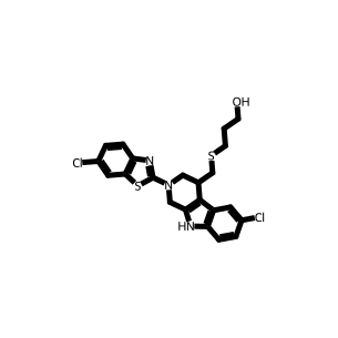 OCCCSCC1CN(c2nc3ccc(Cl)cc3s2)Cc2[nH]c3ccc(Cl)cc3c21